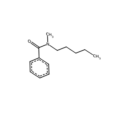 CCCCCN(C)C(=O)c1ccccc1